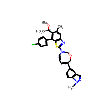 Cc1cc2nc(N3/C=C\C=C(\c4ccc5c(cnn5C)c4)COC3)sc2c(-c2ccc(Cl)cc2)c1[C@H](OC(C)(C)C)C(=O)O